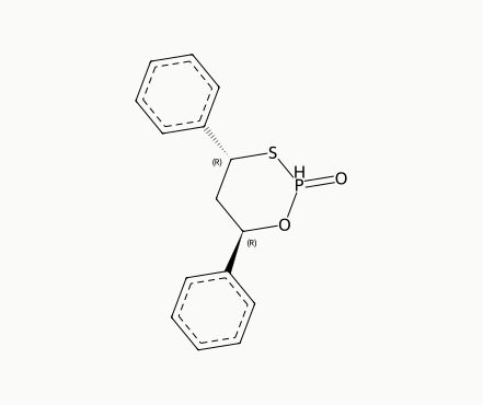 O=[PH]1O[C@@H](c2ccccc2)C[C@H](c2ccccc2)S1